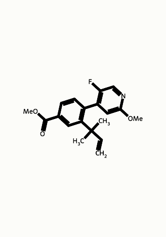 C=CC(C)(C)c1cc(C(=O)OC)ccc1-c1cc(OC)ncc1F